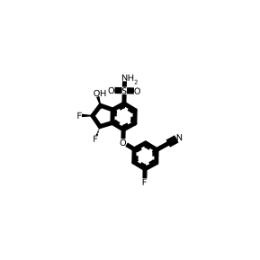 N#Cc1cc(F)cc(Oc2ccc(S(N)(=O)=O)c3c2[C@H](F)[C@@H](F)[C@H]3O)c1